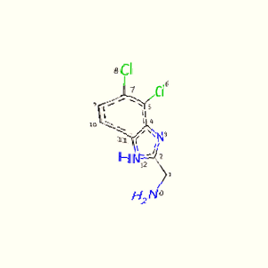 NCc1nc2c(Cl)c(Cl)ccc2[nH]1